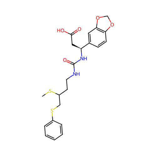 CSC(CCNC(=O)N[C@@H](CC(=O)O)c1ccc2c(c1)OCO2)CSc1ccccc1